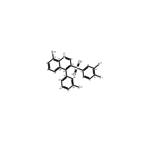 O=S(=O)(c1ccc(F)c(F)c1)c1cnc2c(F)cccc2c1-c1cccc(F)c1